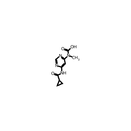 CN(C(=O)O)c1cc(NC(=O)C2CC2)ncn1